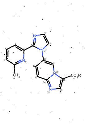 Cc1cccc(-c2nccn2-c2ccc3ncc(C(=O)O)n3c2)n1